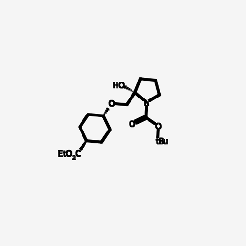 CCOC(=O)[C@H]1CC[C@H](OC[C@@]2(O)CCCN2C(=O)OC(C)(C)C)CC1